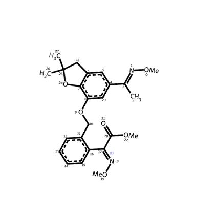 CON=C(C)c1cc2c(c(OCc3ccccc3/C(=N\OC)C(=O)OC)c1)OC(C)(C)C2